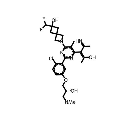 CNC[C@@H](O)COc1ccc(Cl)c(-c2nc(/C(C(C)=N)=C(\C)O)c(C)c(N3CC4(C3)CC(O)(C(F)F)C4)n2)c1